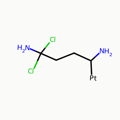 N[CH]([Pt])CCC(N)(Cl)Cl